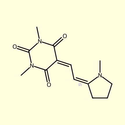 CN1C(=O)C(=C/C=C2/CCCN2C)C(=O)N(C)C1=O